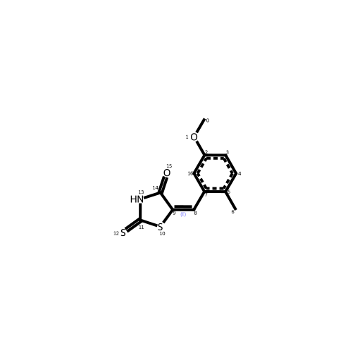 COc1ccc(C)c(/C=C2/SC(=S)NC2=O)c1